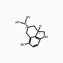 CCCN(CCC)[C@@H]1Cc2c(C#N)ccc3c2[C@@H](CN3)C1